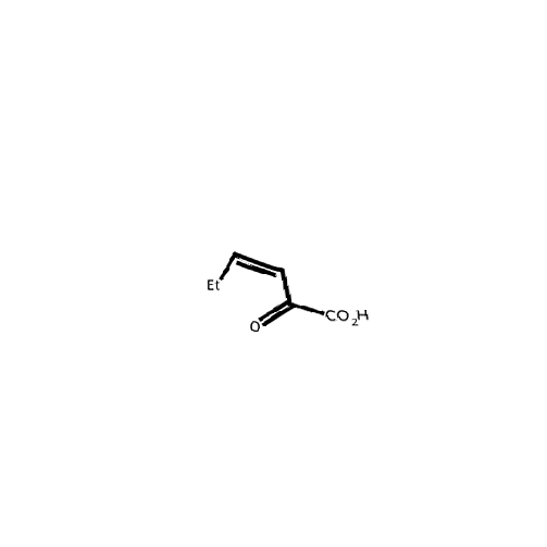 CC/C=C\C(=O)C(=O)O